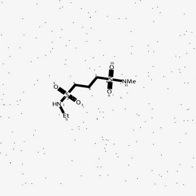 CCNS(=O)(=O)CCCS(=O)(=O)NC